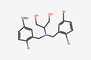 CCc1ccc(Br)c(CN(Cc2cc(OC)ccc2Br)C(CO)CO)c1